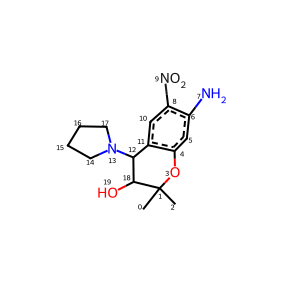 CC1(C)Oc2cc(N)c([N+](=O)[O-])cc2C(N2CCCC2)C1O